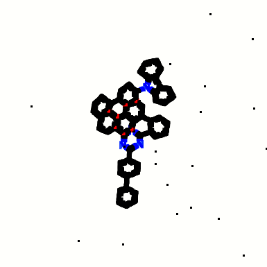 c1ccc(-c2ccc(-c3nc(-c4ccccc4)nc(-c4ccccc4-c4cccc5c(-c6ccccc6-c6ccc(-n7c8ccccc8c8ccccc87)cc6)cccc45)n3)cc2)cc1